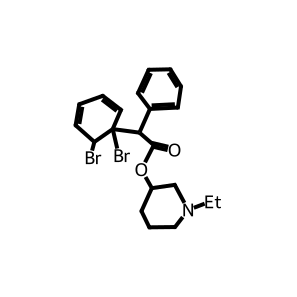 CCN1CCCC(OC(=O)C(c2ccccc2)C2(Br)C=CC=CC2Br)C1